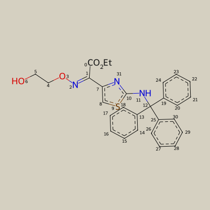 CCOC(=O)/C(=N\OCCO)c1csc(NC(c2ccccc2)(c2ccccc2)c2ccccc2)n1